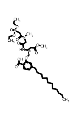 CCCCCCCCCCCCc1ccc(C(=O)O)c(OC[C@H](CC(=O)OC)NC(=O)CN(C)C(=O)CP(=O)(OCC)OCC)c1